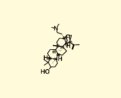 C=C(C)[C@@H]1CC[C@]2(CCN(C)C)CC[C@]3(C)[C@H](CC[C@@H]4[C@@]5(C)CCC(O)C(C)(C)[C@@H]5CC[C@]43C)[C@@H]12